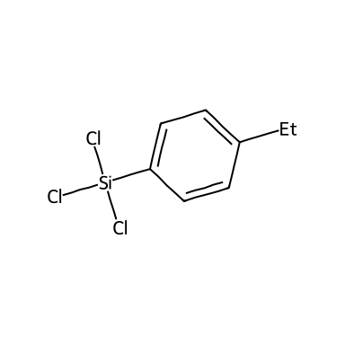 CCc1ccc([Si](Cl)(Cl)Cl)cc1